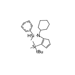 C[SiH](c1ccccc1)N(C1=C([Si](C)(C)C(C)(C)C)C=CC1)C1CCCCC1